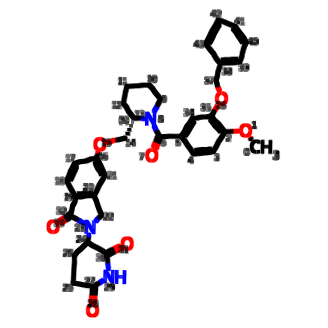 COc1ccc(C(=O)N2CCCC[C@H]2COc2ccc3c(c2)CN(C2CCC(=O)NC2=O)C3=O)cc1OCc1ccccc1